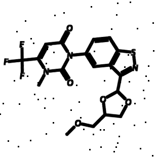 COCC1COC(c2nsc3ccc(-n4c(=O)cc(C(F)(F)F)n(C)c4=O)cc23)O1